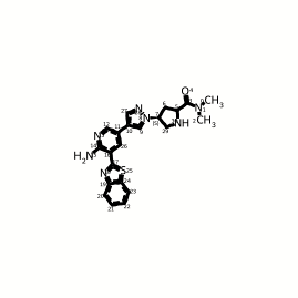 CN(C)C(=O)C1C[C@H](n2cc(-c3cnc(N)c(-c4nc5ccccc5s4)c3)cn2)CN1